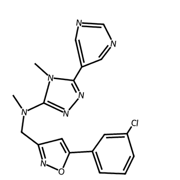 CN(Cc1cc(-c2cccc(Cl)c2)on1)c1nnc(-c2cncnc2)n1C